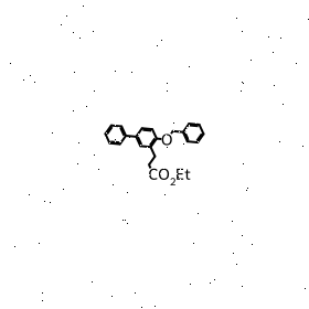 CCOC(=O)CCc1cc(-c2ccccc2)ccc1OCc1ccccc1